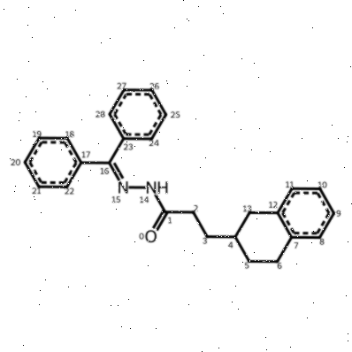 O=C(CCC1CCc2ccccc2C1)NN=C(c1ccccc1)c1ccccc1